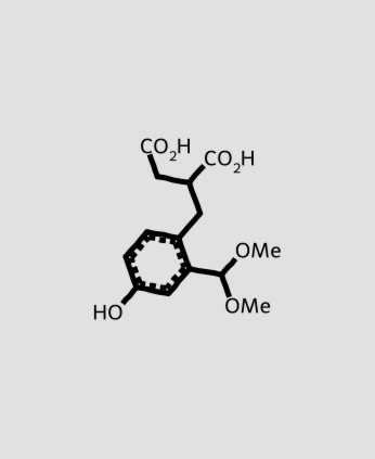 COC(OC)c1cc(O)ccc1CC(CC(=O)O)C(=O)O